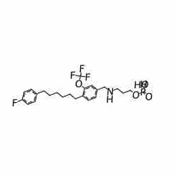 O=[PH](O)OCCCNCc1ccc(CCCCCCc2ccc(F)cc2)c(OC(F)(F)F)c1